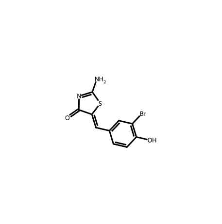 NC1=NC(=O)C(=Cc2ccc(O)c(Br)c2)S1